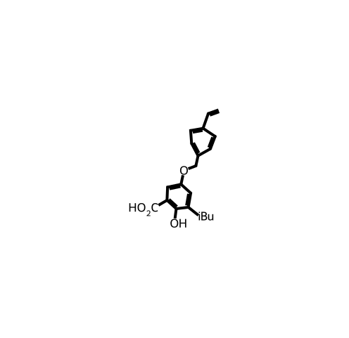 C=Cc1ccc(COc2cc(C(=O)O)c(O)c(C(C)CC)c2)cc1